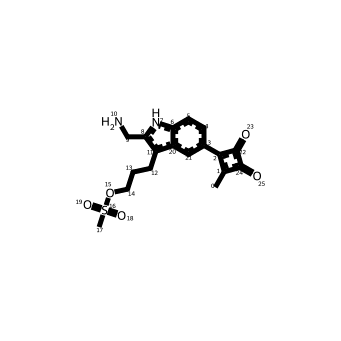 Cc1c(-c2ccc3[nH]c(CN)c(CCCOS(C)(=O)=O)c3c2)c(=O)c1=O